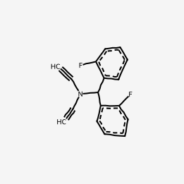 C#CN(C#C)C(c1ccccc1F)c1ccccc1F